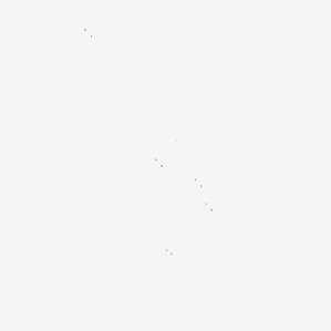 CC(=O)N1Cc2[nH]nc(NC(=O)C=Cc3ccncc3)c2C1